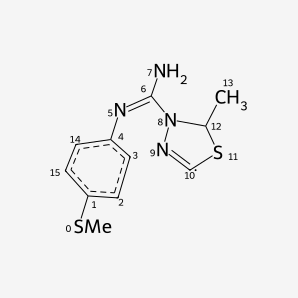 CSc1ccc(N=C(N)N2N=[C]SC2C)cc1